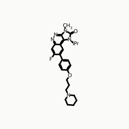 CC(C)n1c(=O)n(C)c2nnc3cc(F)c(-c4ccc(OCCCN5CCCCC5)cc4)cc3c21